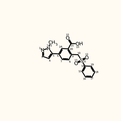 Cn1nccc1-c1ccc(CS(=O)(=O)c2ccccc2)c(C(=O)O)c1